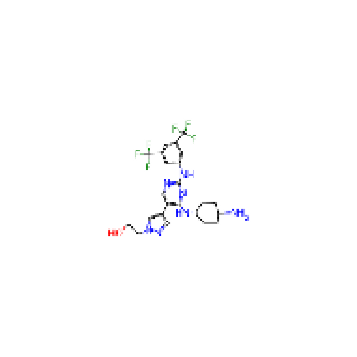 N[C@H]1CC[C@H](Nc2nc(Nc3cc(C(F)(F)F)cc(C(F)(F)F)c3)ncc2-c2cnn(CCO)c2)CC1